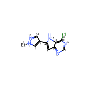 CCn1cc(-c2cc3ncnc(Cl)c3[nH]2)cn1